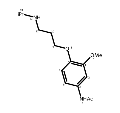 COc1cc(NC(C)=O)ccc1OCCCNC(C)C